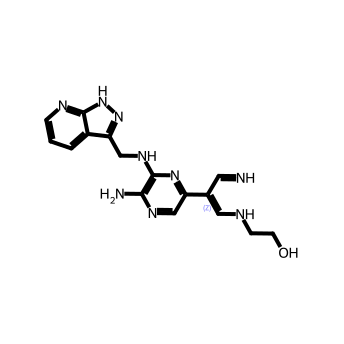 N=C/C(=C\NCCO)c1cnc(N)c(NCc2n[nH]c3ncccc23)n1